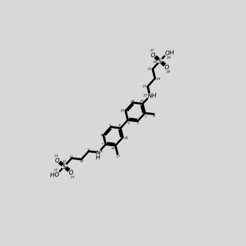 Cc1cc(-c2ccc(NCCCS(=O)(=O)O)c(C)c2)ccc1NCCCS(=O)(=O)O